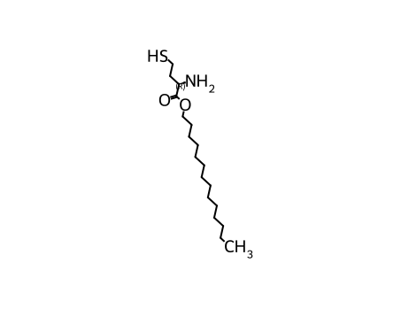 CCCCCCCCCCCCCCOC(=O)[C@H](N)CCS